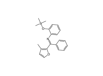 Cc1ccoc1C(=Nc1ccccc1O[Si](C)(C)C)c1ccccc1